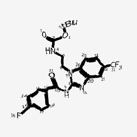 CC(C)(C)OC(=O)NCCn1c(NC(=O)c2ccc(F)cc2)nc2cc(C(F)(F)F)ccc21